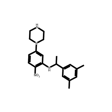 Cc1cc(C)cc(C(C)Nc2cc(N3CCNCC3)ccc2[N+](=O)[O-])c1